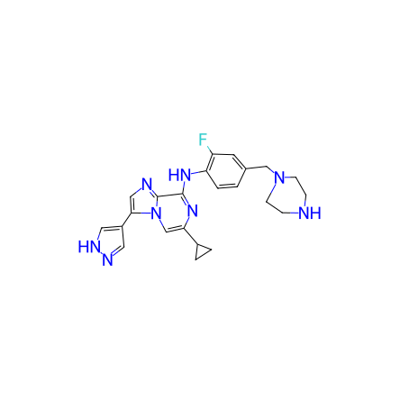 Fc1cc(CN2CCNCC2)ccc1Nc1nc(C2CC2)cn2c(-c3cn[nH]c3)cnc12